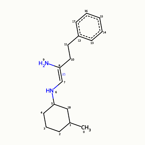 CC1CCCC(N/C=C(\N)CCc2ccccc2)C1